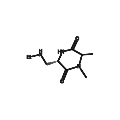 CCNC[C@@H]1NC(=O)C(C)N(C)C1=O